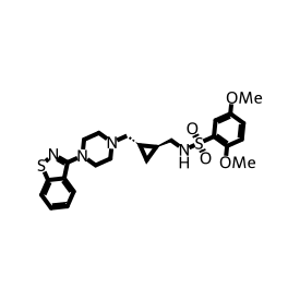 COc1ccc(OC)c(S(=O)(=O)NC[C@H]2C[C@@H]2CN2CCN(c3nsc4ccccc34)CC2)c1